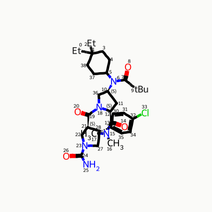 CCC1(CC)CCC(N(C(=O)C(C)(C)C)[C@H]2C[C@@H](C(=O)N(C)C)N(C(=O)[C@@H]3CN(C(N)=O)C[C@H]3c3ccc(Cl)cc3)C2)CC1